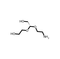 NCCO[C@@H](CO)OCCO